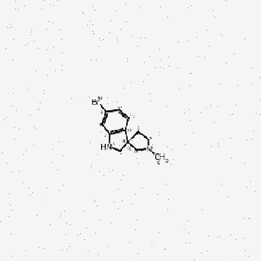 CN1CC[C@]2(CNc3cc(Br)ccc32)C1